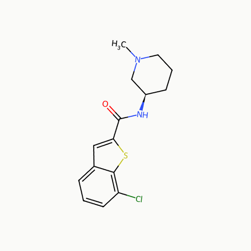 CN1CCC[C@@H](NC(=O)c2cc3cccc(Cl)c3s2)C1